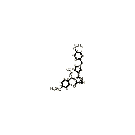 COc1ccc(Cn2cc(-c3n[nH]c(=O)n3Cc3ccc(OC)cc3)c([N+](=O)[O-])c2)cc1